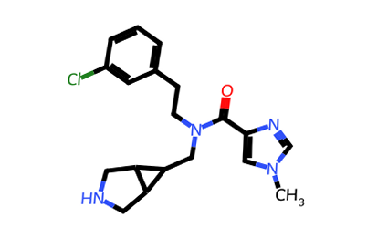 Cn1cnc(C(=O)N(CCc2cccc(Cl)c2)CC2C3CNCC32)c1